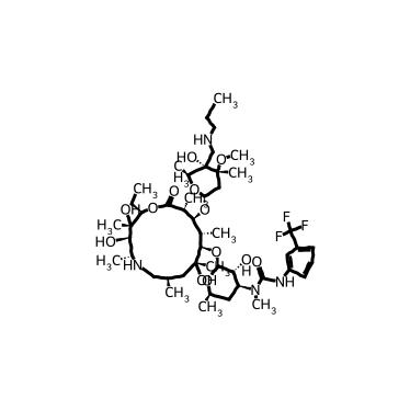 CCCNC[C@]1(O)[C@H](C)O[C@@H](O[C@H]2[C@H](C)[C@@H](O[C@@H]3O[C@H](C)C[C@H](N(C)C(=O)Nc4cccc(C(F)(F)F)c4)[C@H]3O)[C@](C)(O)C[C@@H](C)CN[C@H](C)[C@@H](O)[C@](C)(O)[C@@H](CC)OC(=O)[C@@H]2C)C[C@@]1(C)OC